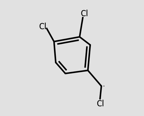 Cl[CH]c1ccc(Cl)c(Cl)c1